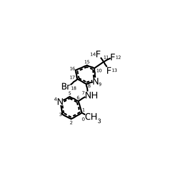 Cc1ccncc1Nc1nc(C(F)(F)F)ccc1Br